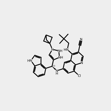 CC(C)(C)CNc1c(C#N)cnc2c(Cl)cc(N[C@H](C3=CN(C45CC(C4)C5)NN3)c3cccc4[nH]ccc34)cc12